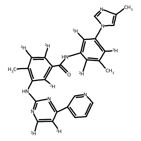 [2H]c1nc(Nc2c([2H])c(C(=O)Nc3c([2H])c(C)c([2H])c(-n4cnc(C)c4)c3[2H])c([2H])c([2H])c2C)nc(-c2cccnc2)c1[2H]